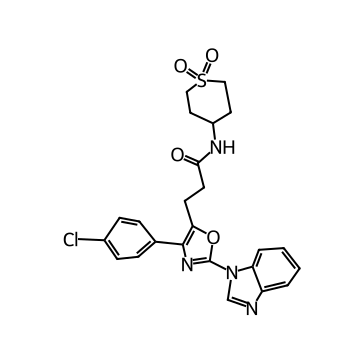 O=C(CCc1oc(-n2cnc3ccccc32)nc1-c1ccc(Cl)cc1)NC1CCS(=O)(=O)CC1